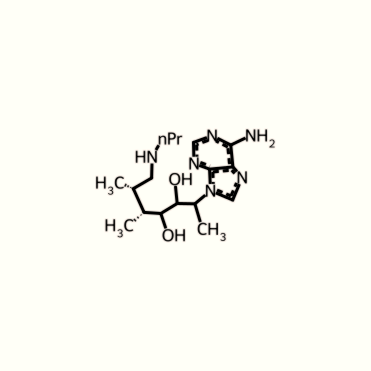 CCCNC[C@@H](C)[C@@H](C)C(O)C(O)C(C)n1cnc2c(N)ncnc21